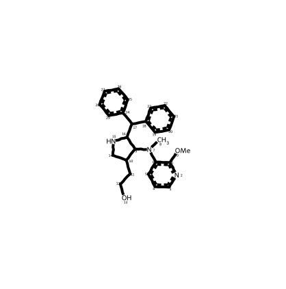 COc1ncccc1N(C)C1C(CCO)CNC1C(c1ccccc1)c1ccccc1